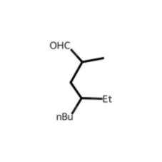 CCCCC(CC)CC(C)C=O